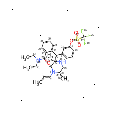 C=CCN1C[C@](C)([C@H](c2cccc(OS(=O)(=O)C(F)(F)F)c2)c2ccccc2C(=O)N(CC)CC)NC[C@H]1C